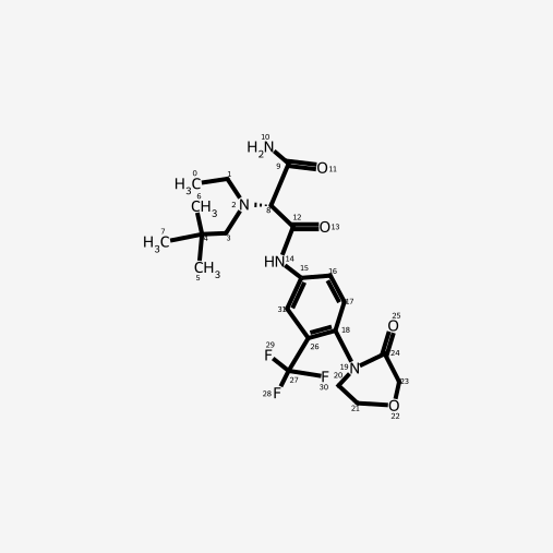 CCN(CC(C)(C)C)[C@H](C(N)=O)C(=O)Nc1ccc(N2CCOCC2=O)c(C(F)(F)F)c1